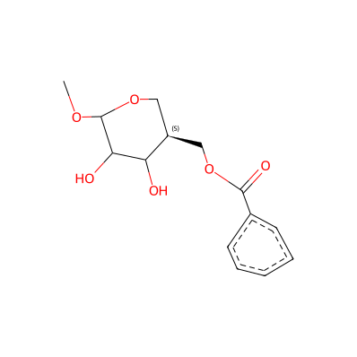 COC1OC[C@@H](COC(=O)c2ccccc2)C(O)C1O